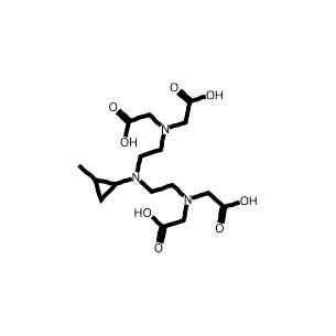 CC1CC1N(CCN(CC(=O)O)CC(=O)O)CCN(CC(=O)O)CC(=O)O